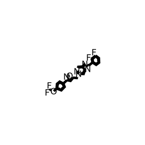 Fc1cccc(-c2nc3cnn(Cc4cc(-c5ccc(OC(F)F)cc5)no4)cc-3n2)c1F